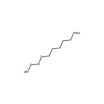 CCCCCCCCCCCOOOCCC